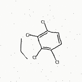 CCC.Clc1ccc(Cl)c(Cl)c1Cl